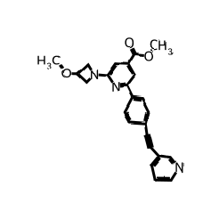 COC(=O)c1cc(-c2ccc(C#Cc3cccnc3)cc2)nc(N2CC(OC)C2)c1